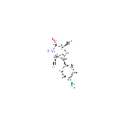 O=C1N[C@@H]2C[C@H]1C[C@H]2c1ccc(Br)cc1